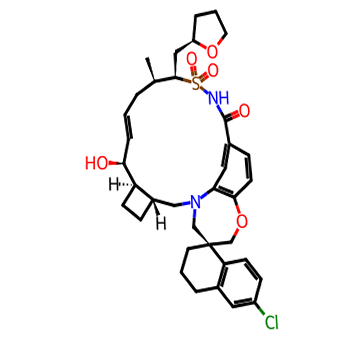 C[C@@H]1C/C=C/[C@H](O)[C@@H]2CC[C@H]2CN2C[C@@]3(CCCc4cc(Cl)ccc43)COc3ccc(cc32)C(=O)NS(=O)(=O)[C@@H]1C[C@H]1CCCO1